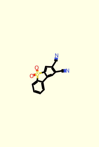 N#Cc1cc2c(cc1C#N)S(=O)(=O)c1ccccc1-2